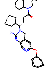 NC1=Nc2cnc(Oc3ccccc3)cc2CN1[C@@H](CCC(=O)N(CC(=O)O)C1CCCCC1)C1CCCCC1